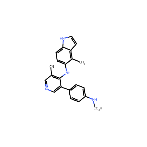 Cc1c(Nc2c(C#N)cncc2-c2ccc(NC(=O)O)cc2)ccc2[nH]ccc12